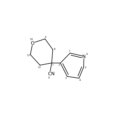 N#CC1(c2cccnc2)CCOCC1